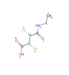 CCNC(=O)C(S)C(S)C(=O)O